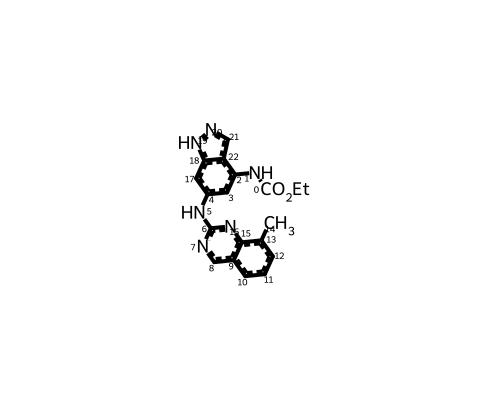 CCOC(=O)Nc1cc(Nc2ncc3cccc(C)c3n2)cc2[nH]ncc12